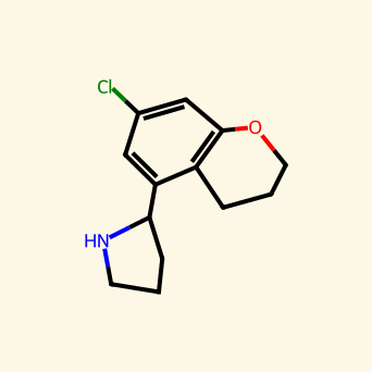 Clc1cc2c(c(C3CCCN3)c1)CCCO2